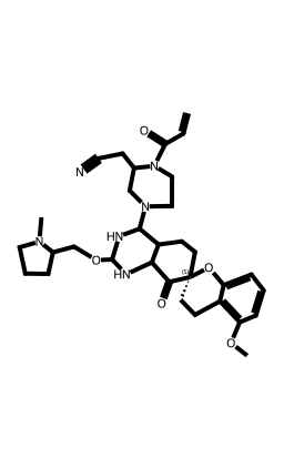 C=CC(=O)N1CCN(C2NC(OCC3CCCN3C)NC3C(=O)[C@@]4(CCc5c(OC)cccc5O4)CCC32)CC1CC#N